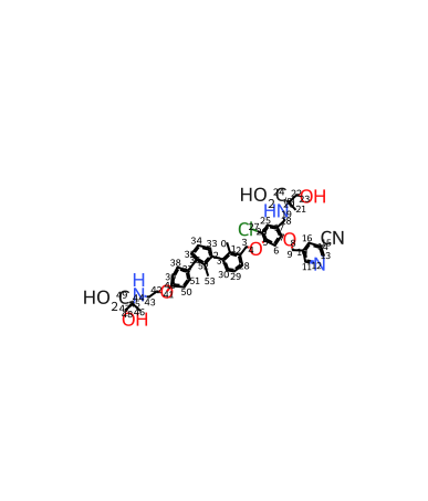 Cc1c(COc2cc(OCc3cncc(C#N)c3)c(CN[C@@](C)(CO)C(=O)O)cc2Cl)cccc1-c1cccc(-c2ccc(OCCNC(C)(CO)C(=O)O)cc2)c1C